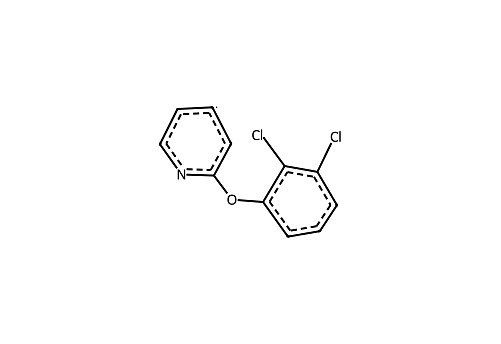 Clc1cccc(Oc2c[c]ccn2)c1Cl